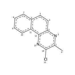 Cc1nc2ccc3ccccc3c2nc1Cl